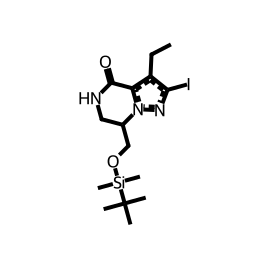 CCc1c(I)nn2c1C(=O)NCC2CO[Si](C)(C)C(C)(C)C